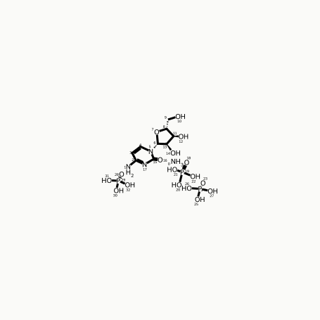 N.Nc1ccn([C@@H]2O[C@H](CO)[C@@H](O)[C@H]2O)c(=O)n1.O=P(O)(O)O.O=P(O)(O)O.O=P(O)(O)O